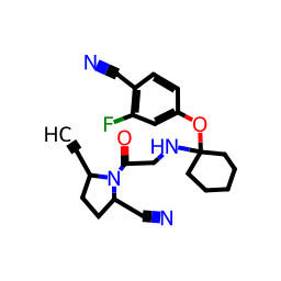 C#CC1CCC(C#N)N1C(=O)CNC1(Oc2ccc(C#N)c(F)c2)CCCCC1